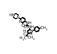 Cc1ccc(-n2nc(C(C)(C)C)cc2NC(=O)Nc2ccc(N3CCNCC3)nc2C)cc1